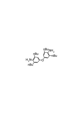 CCCCc1cc(Oc2cc(CCCC)c(N)c(CCCC)c2)cc(CCCC)c1N